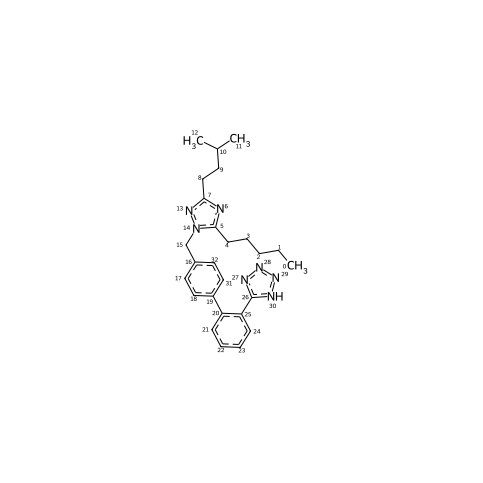 CCCCCc1nc(CCC(C)C)nn1Cc1ccc(-c2ccccc2-c2nnn[nH]2)cc1